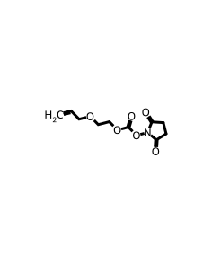 C=CCOCCOC(=O)ON1C(=O)CCC1=O